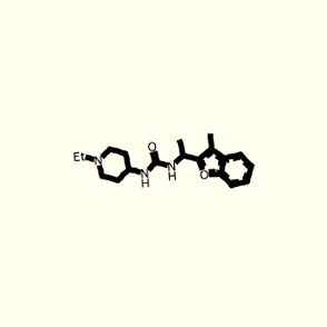 CCN1CCC(NC(=O)NC(C)c2oc3ccccc3c2C)CC1